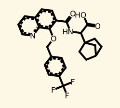 O=C(NC(C(=O)O)C12CCC(CC1)C2)c1ccc2cccnc2c1OCc1ccc(C(F)(F)F)cc1